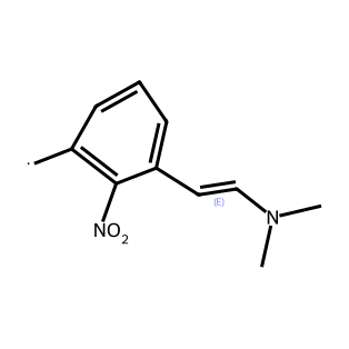 [CH2]c1cccc(/C=C/N(C)C)c1[N+](=O)[O-]